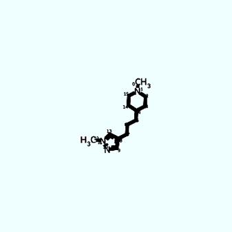 CN1CCC(CCCc2cnn(C)c2)CC1